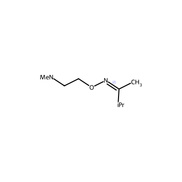 CNCCO/N=C(/C)C(C)C